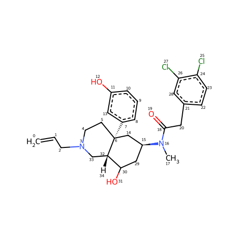 C=CCN1CC[C@@]2(c3cccc(O)c3)C[C@@H](N(C)C(=O)Cc3ccc(Cl)c(Cl)c3)CC(O)[C@@H]2C1